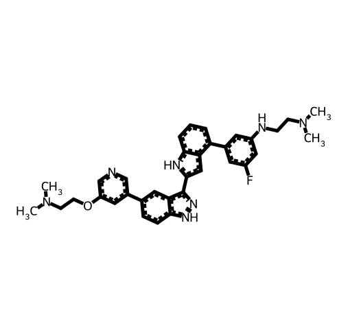 CN(C)CCNc1cc(F)cc(-c2cccc3[nH]c(-c4n[nH]c5ccc(-c6cncc(OCCN(C)C)c6)cc45)cc23)c1